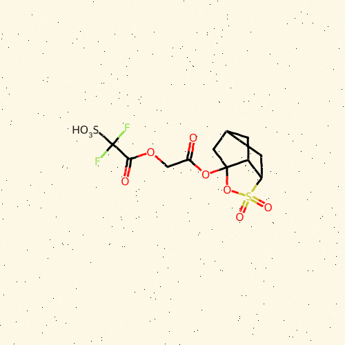 O=C(COC(=O)C(F)(F)S(=O)(=O)O)OC12CC3CC1C(C3)S(=O)(=O)O2